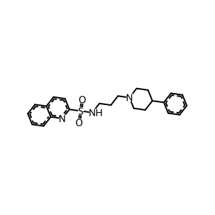 O=S(=O)(NCCCN1CCC(c2ccccc2)CC1)c1ccc2ccccc2n1